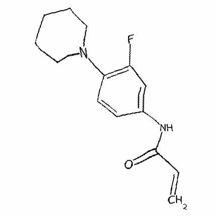 C=CC(=O)Nc1ccc(N2CCCCC2)c(F)c1